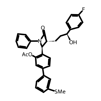 CSc1cccc(-c2ccc([C@@H]3[C@@H](CC[C@H](O)c4ccc(F)cc4)C(=O)N3c3ccccc3)c(OC(C)=O)c2)c1